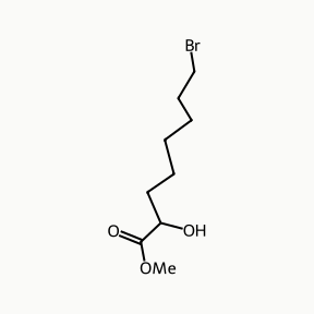 COC(=O)C(O)CCCCCCBr